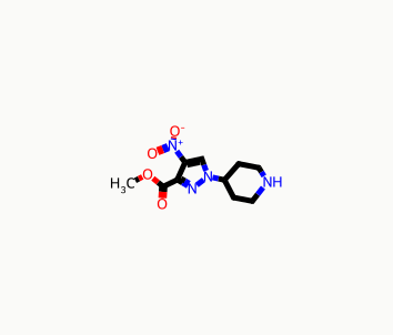 COC(=O)c1nn(C2CCNCC2)cc1[N+](=O)[O-]